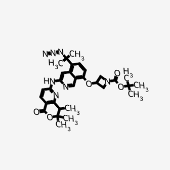 CC1c2nc(Nc3cc4c(C(C)(C)N=[N+]=[N-])ccc(OC5CN(C(=O)OC(C)(C)C)C5)c4cn3)ccc2C(=O)OC1(C)C